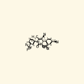 CC1=C(C#N)[C@@H](c2ccc(C#N)cc2[N+](=O)[O-])N(C)C(=O)N1c1cccc(C(F)(F)F)c1